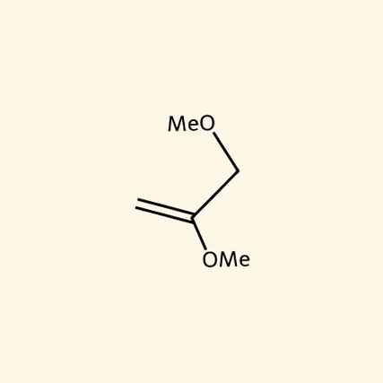 C=C(COC)OC